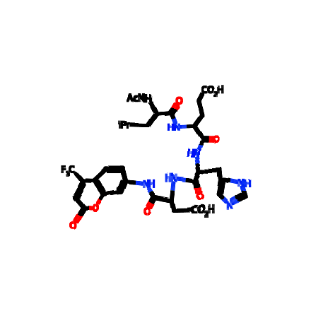 CC(=O)NC(CC(C)C)C(=O)NC(CCC(=O)O)C(=O)NC(Cc1cnc[nH]1)C(=O)NC(CC(=O)O)C(=O)Nc1ccc2c(C(F)(F)F)cc(=O)oc2c1